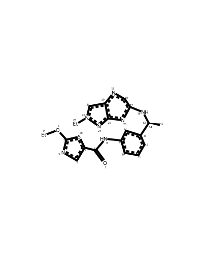 CCOc1ncc(C(=O)Nc2cccc([C@H](C)Nc3cnc4cn(CC)nc4n3)c2)s1